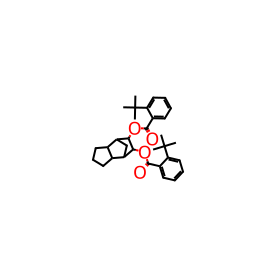 CC(C)(C)c1ccccc1C(=O)OC1C2CC(C3CCCC32)C1OC(=O)c1ccccc1C(C)(C)C